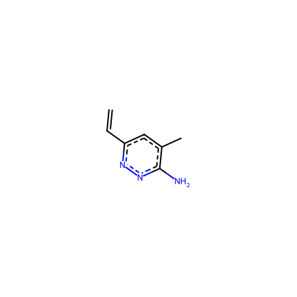 C=Cc1cc(C)c(N)nn1